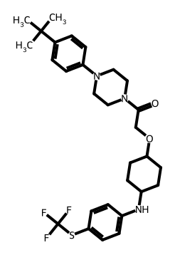 CC(C)(C)c1ccc(N2CCN(C(=O)COC3CCC(Nc4ccc(SC(F)(F)F)cc4)CC3)CC2)cc1